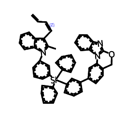 C=C/C=C\c1c(C)n(-c2cccc([Si](c3ccccc3)(c3ccccc3)c3cccc(-c4ccc5c(c4)-n4c(nc6ccccc64)OC5)c3)c2)c2ccccc12